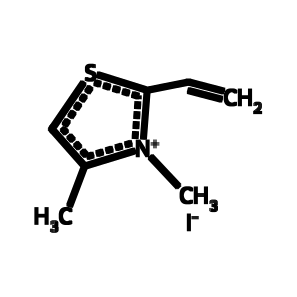 C=Cc1scc(C)[n+]1C.[I-]